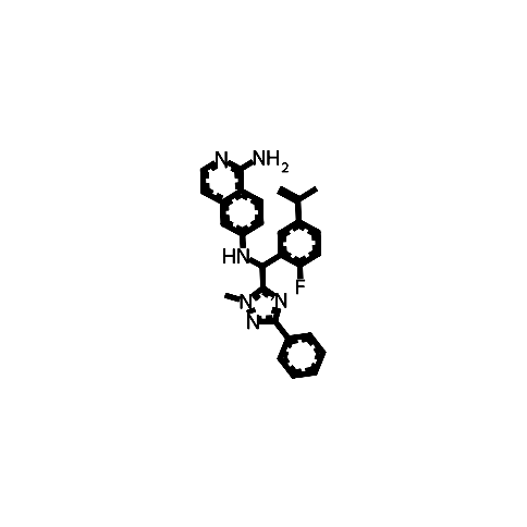 C=C(C)c1ccc(F)c(C(Nc2ccc3c(N)nccc3c2)c2nc(-c3ccccc3)nn2C)c1